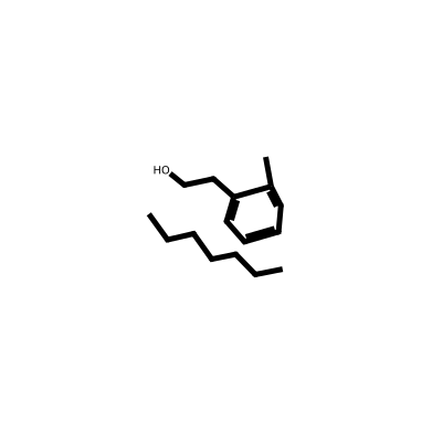 CCCCCCC.Cc1ccccc1CCO